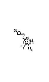 CC(C)(C)OC(=O)COC1CC(=O)C1